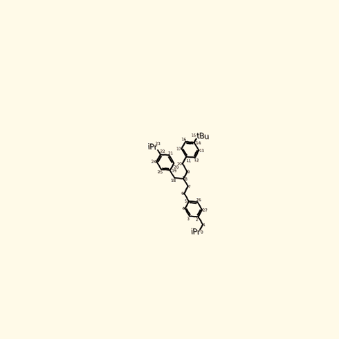 CC(C)Cc1ccc(CC[C](CCc2ccc(C(C)(C)C)cc2)Cc2ccc(C(C)C)cc2)cc1